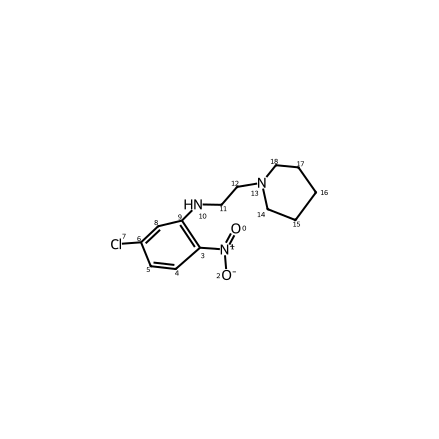 O=[N+]([O-])c1ccc(Cl)cc1NCCN1CCCCC1